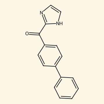 O=C(c1ccc(-c2ccccc2)cc1)c1ncc[nH]1